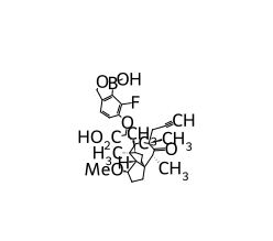 C#CC[C@@]1(C)C[C@@H](C(Oc2ccc3c(c2F)B(O)OC3)C(=O)O)[C@@]2(C)[C@H](C)CC[C@]3(CC[C@@H](OC)[C@@H]32)[C@@H](C)C1=O